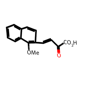 COc1c(C=CC(=O)C(=O)O)ccc2ccccc12